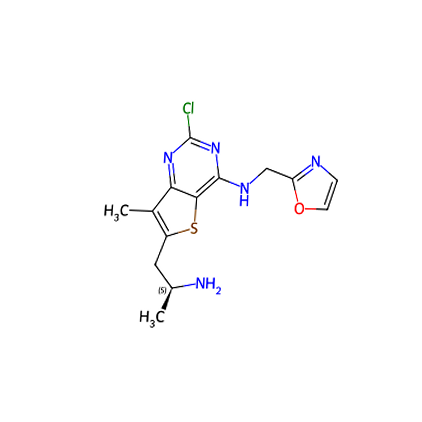 Cc1c(C[C@H](C)N)sc2c(NCc3ncco3)nc(Cl)nc12